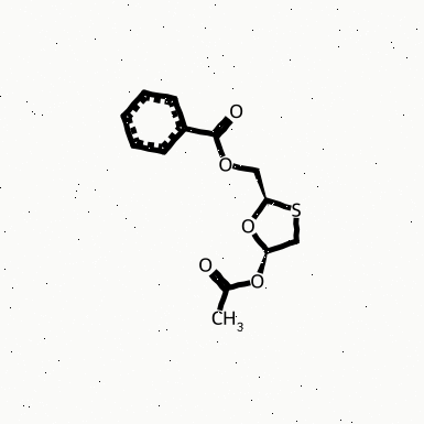 CC(=O)O[C@@H]1CS[C@H](COC(=O)c2ccccc2)O1